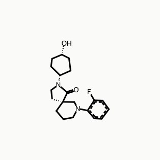 O=C1N([C@H]2CC[C@@H](O)CC2)CC[C@]12CCCN(c1ccccc1F)C2